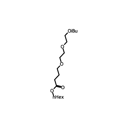 CCCCCCOC(=O)CCCOCCOCCOCC(C)C